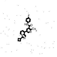 Cc1ncc(-c2cccn3c(C4CCC4)ncc23)cc1C(=O)Nc1ccc(F)cc1